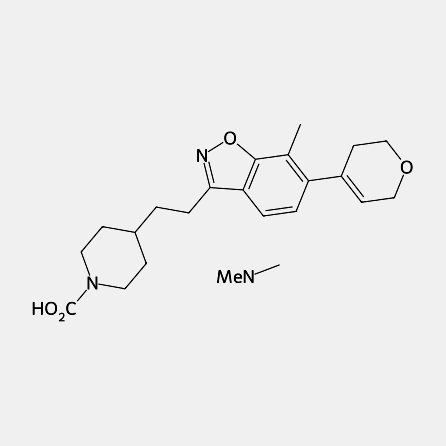 CNC.Cc1c(C2=CCOCC2)ccc2c(CCC3CCN(C(=O)O)CC3)noc12